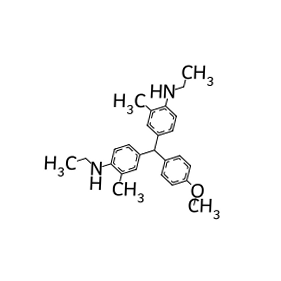 CCNc1ccc(C(c2ccc(OC)cc2)c2ccc(NCC)c(C)c2)cc1C